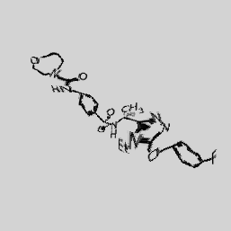 CCn1c(Oc2ccc(F)cc2)nnc1[C@@H](C)NS(=O)(=O)c1ccc(NC(=O)N2CCOCC2)cc1